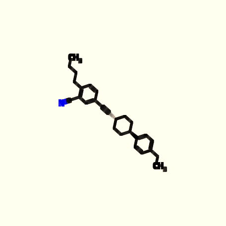 CCCCc1ccc(C#C[C@H]2CC[C@H](c3ccc(CC)cc3)CC2)cc1C#N